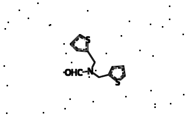 O=[C]N(Cc1cccs1)Cc1cccs1